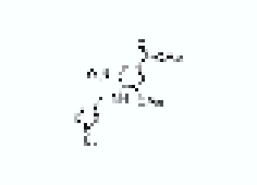 CCn1cc(CNc2c(OC)cc(C(=O)OC)cc2[N+](=O)[O-])cn1